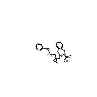 O=C(O)[C@@H]1Cc2ccccc2CN1CC1(CNC2CC2c2ccccc2)CC1